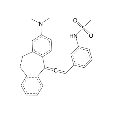 CN(C)c1ccc2c(c1)CCc1ccccc1C2=C=Cc1cccc(NS(C)(=O)=O)c1